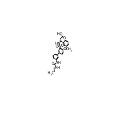 CCCNC(=O)Nc1cccc(-c2ccc(OC)c(S(=O)(=O)N[C@H](CC(=O)O)c3ccccc3)c2)c1